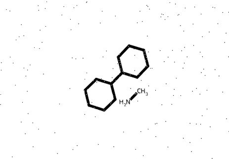 C1CCC(C2CCCCC2)CC1.CN